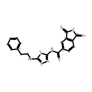 O=C(Nc1nnc(NCCc2ccccc2)s1)c1ccc2c(c1)C(=O)OC2=O